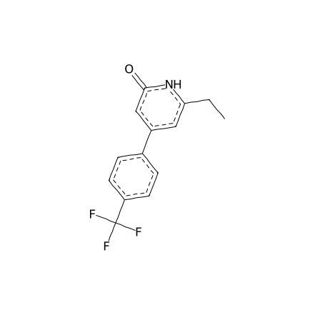 CCc1cc(-c2ccc(C(F)(F)F)cc2)cc(=O)[nH]1